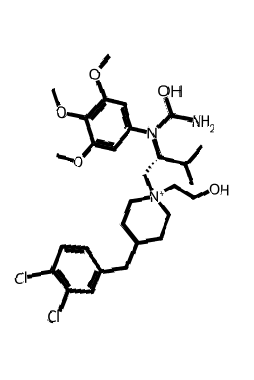 COc1cc(N(C(N)O)[C@@H](C[N+]2(CCO)CCC(Cc3ccc(Cl)c(Cl)c3)CC2)C(C)C)cc(OC)c1OC